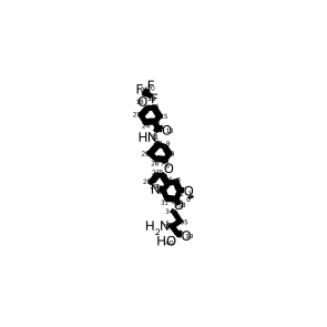 COc1cc2c(Oc3ccc(NC(=O)c4ccc(OC(F)(F)F)cc4)cc3)ccnc2cc1OCC[C@H](N)C(=O)O